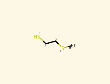 CCSCCS